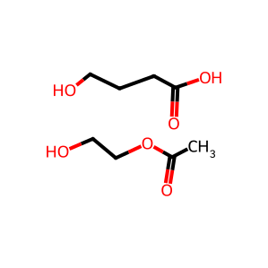 CC(=O)OCCO.O=C(O)CCCO